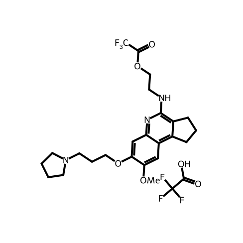 COc1cc2c3c(c(NCCOC(=O)C(F)(F)F)nc2cc1OCCCN1CCCC1)CCC3.O=C(O)C(F)(F)F